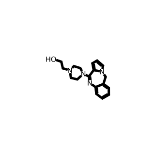 OCCN1CCN(C2=Nc3ccccc3Cn3cccc32)CC1